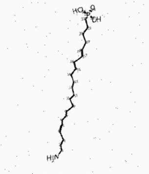 NCCCCCCCCCCCCCCCCCCCCCCP(=O)(O)O